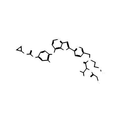 COCCN(Cc1ccc(-c2cc3nccc(Oc4ccc(NC(=O)NC5CC5)cc4F)c3s2)nc1)C(=O)C(NC(=O)CN)C(C)C